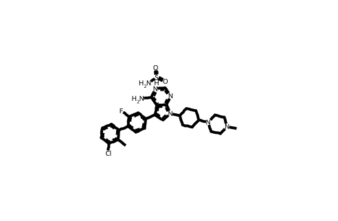 Cc1c(Cl)cccc1-c1ccc(-c2cn(C3CCC(N4CCN(C)CC4)CC3)c3ncnc(N)c23)cc1F.N[SH](=O)=O